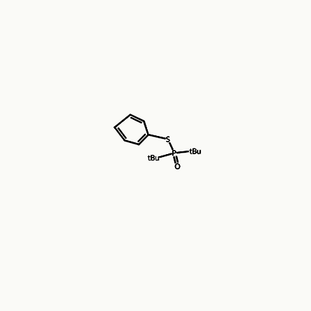 CC(C)(C)P(=O)(Sc1ccccc1)C(C)(C)C